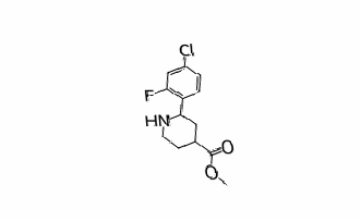 COC(=O)C1CCNC(c2ccc(Cl)cc2F)C1